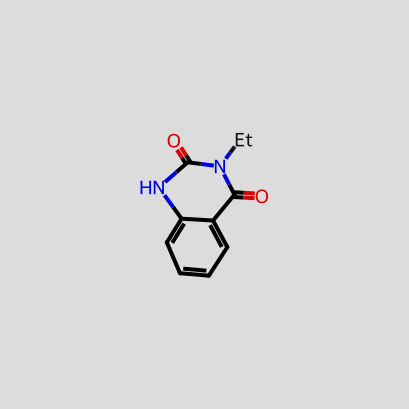 [CH2]Cn1c(=O)[nH]c2ccccc2c1=O